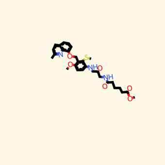 COC(=O)CCCCC(=O)NCC(=O)CNc1ccc(OC)c(COc2cccc3ccc(C)nc23)c1SC